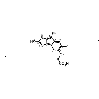 CC1=C(OCC(=O)O)CC2=c3nc(S)sc3=C(C)C2=C1